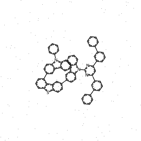 c1ccc(-c2cccc(-c3cc(-c4cccc(-c5ccccc5)c4)nc(-n4c5ccccc5c5cc(-c6ccc7sc8cccc(-c9ccc%10c(c9)c9ccccc9n%10-c9ccccc9)c8c7c6)ccc54)n3)c2)cc1